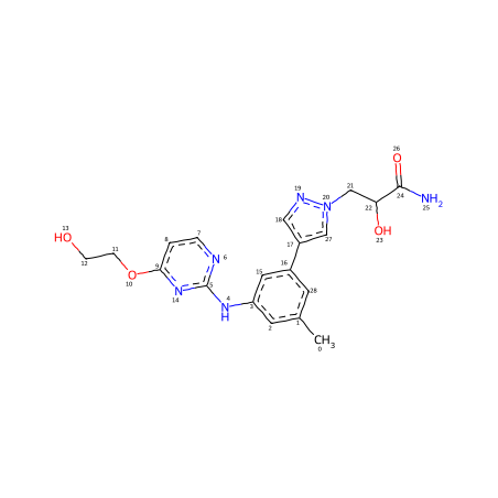 Cc1cc(Nc2nccc(OCCO)n2)cc(-c2cnn(CC(O)C(N)=O)c2)c1